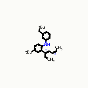 C=C/C(=C\C=C/C)c1cc(C(C)(C)C)ccc1Nc1cccc(CC(C)(C)C)c1